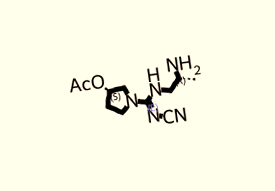 CC(=O)O[C@H]1CCN(/C(=N/C#N)NC[C@@H](C)N)C1